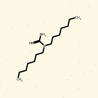 CCCCCCCN(CCCCCCC)C(=N)N